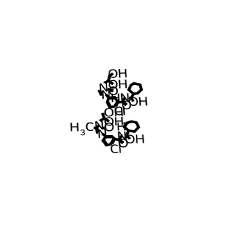 Cc1cn(-c2ccc(Cl)c(C(=O)NC(O)C3CCCCCC3)c2)c(=O)n1CC(O)CO.O=C(NC(O)C1CCCCCC1)c1cc(-n2ccn(CC(O)CO)c2=O)ccc1Cl